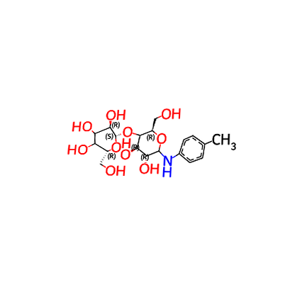 Cc1ccc(NC2O[C@H](CO)C(O[C@@H]3O[C@H](CO)C(O)C(O)[C@H]3O)[C@H](O)[C@H]2O)cc1